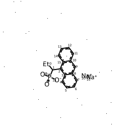 CCC(c1c2ccccc2cc2ccccc12)P(=O)([O-])[O-].[Na+].[Na+]